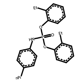 CCCc1ccc(NP(=O)(Oc2ccccc2CC)Oc2ccccc2CC)cc1